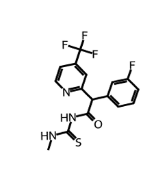 CNC(=S)NC(=O)C(c1cccc(F)c1)c1cc(C(F)(F)F)ccn1